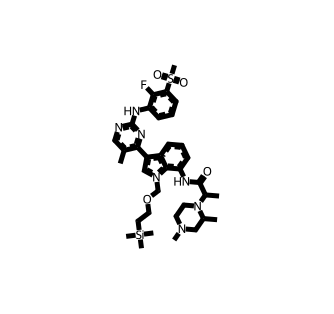 Cc1cnc(Nc2cccc(S(C)(=O)=O)c2F)nc1-c1cn(COCC[Si](C)(C)C)c2c(NC(=O)C(C)N3CCN(C)CC3C)cccc12